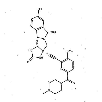 COc1ccc(C(=O)N2CCN(C)CC2)nc1C#C[C@]1(CN2Cc3ccc(O)cc3C2=O)NC(=O)NC1=O